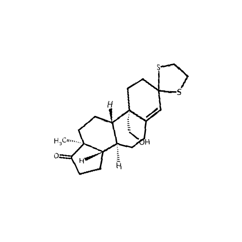 C[C@]12CC[C@H]3[C@@H](CCC4=CC5(CC[C@@]43CO)SCCS5)[C@@H]1CCC2=O